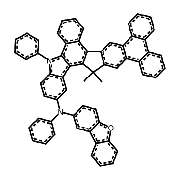 CC1(C)c2cc3c4ccccc4c4ccccc4c3cc2-c2c1c1c3cc(N(c4ccccc4)c4ccc5oc6ccccc6c5c4)ccc3n(-c3ccccc3)c1c1ccccc21